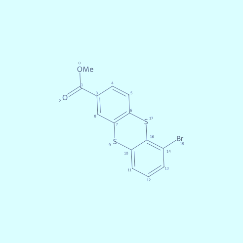 COC(=O)c1ccc2c(c1)Sc1cccc(Br)c1S2